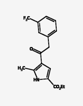 CCOC(=O)c1cc(C(=O)Cc2cccc(C(F)(F)F)c2)c(C)[nH]1